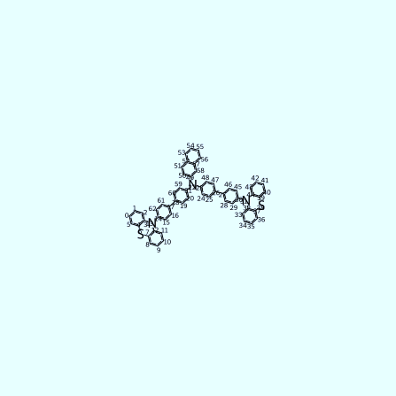 c1ccc2c(c1)Sc1ccccc1N2c1ccc(-c2ccc(N(c3ccc(-c4ccc(N5c6ccccc6Sc6ccccc65)cc4)cc3)c3ccc4ccccc4c3)cc2)cc1